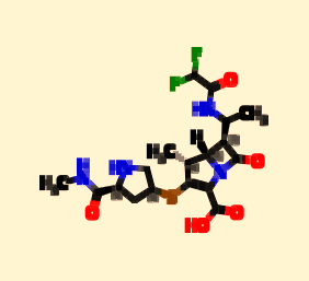 CNC(=O)[C@@H]1C[C@H](SC2=C(C(=O)O)N3C(=O)[C@H](C(C)NC(=O)C(F)F)[C@H]3[C@H]2C)CN1